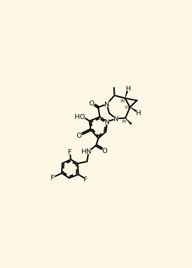 CC1[C@@H]2C[C@@H]2[C@@H](C)N2CN1C(=O)c1c(O)c(=O)c(C(=O)NCc3c(F)cc(F)cc3F)cn12